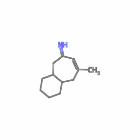 CC1=CC(=N)CC2CCCCC2C1